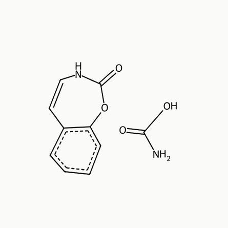 NC(=O)O.O=C1NC=Cc2ccccc2O1